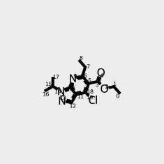 CCOC(=O)c1c(CC)nc2c(cnn2C(C)C)c1Cl